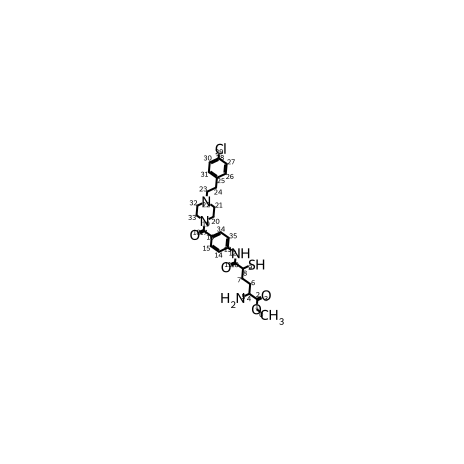 COC(=O)C(N)CCC(S)C(=O)Nc1ccc(C(=O)N2CCN(CCc3ccc(Cl)cc3)CC2)cc1